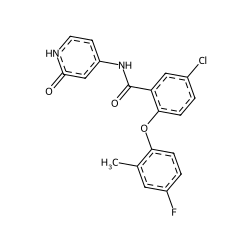 Cc1cc(F)ccc1Oc1ccc(Cl)cc1C(=O)Nc1cc[nH]c(=O)c1